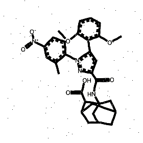 COc1cccc(OC)c1-c1cc(C(=O)NC23CC4CC(CC(C4)C2C(=O)O)C3)nn1-c1ccc([N+](=O)[O-])cc1C